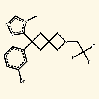 Cn1cnnc1C1(c2cccc(Br)c2)CC2(CN(CC(F)(F)F)C2)C1